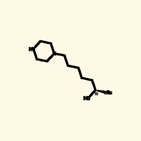 CCCC[C@H](O)CCCCCN1CCNCC1